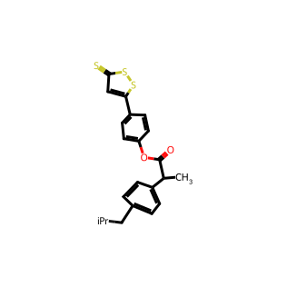 CC(C)Cc1ccc(C(C)C(=O)Oc2ccc(-c3cc(=S)ss3)cc2)cc1